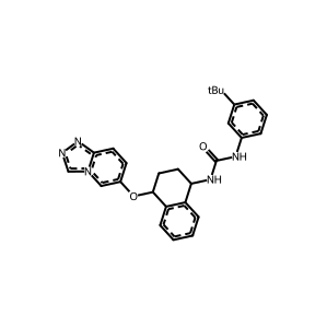 CC(C)(C)c1cccc(NC(=O)NC2CCC(Oc3ccc4nncn4c3)c3ccccc32)c1